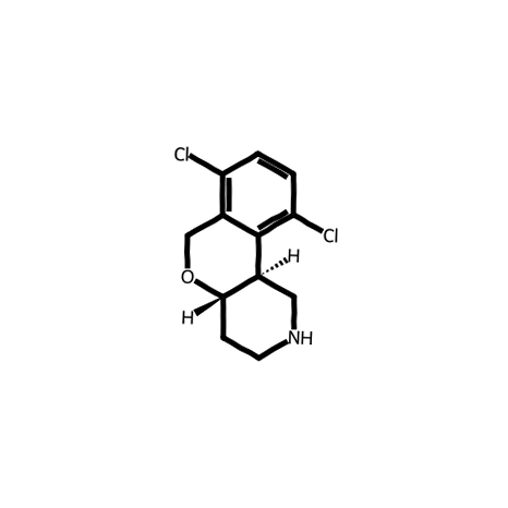 Clc1ccc(Cl)c2c1CO[C@H]1CCNC[C@H]21